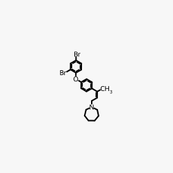 CC(=CCN1CCCCCC1)c1ccc(Oc2ccc(Br)cc2Br)cc1